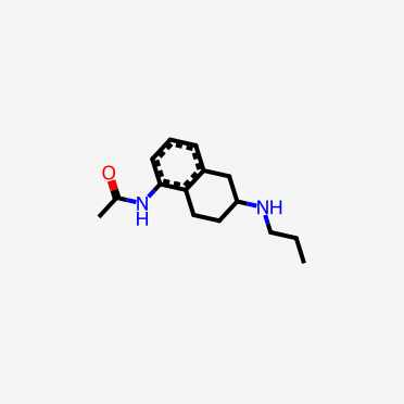 CCCNC1CCc2c(cccc2NC(C)=O)C1